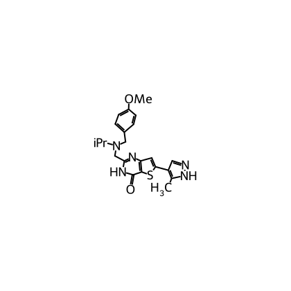 COc1ccc(CN(Cc2nc3cc(-c4cn[nH]c4C)sc3c(=O)[nH]2)C(C)C)cc1